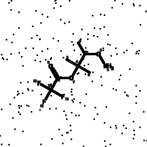 CC(ON)C(C)(C)OC(=O)C(F)(F)F